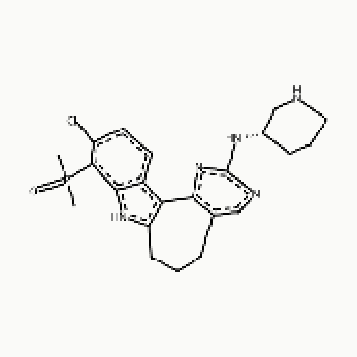 CP(C)(=O)c1c(Cl)ccc2c3c([nH]c12)CCCc1cnc(N[C@H]2CCCNC2)nc1-3